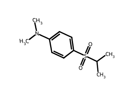 CC(C)S(=O)(=O)c1ccc(N(C)C)cc1